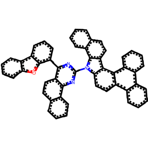 c1ccc2c(c1)ccc1c(-c3cccc4c3oc3ccccc34)nc(-n3c4ccc5c6ccccc6c6ccccc6c5c4c4ccc5ccccc5c43)nc12